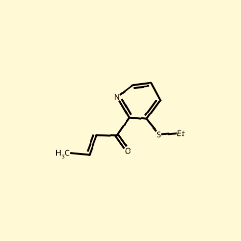 C/C=C/C(=O)c1ncccc1SCC